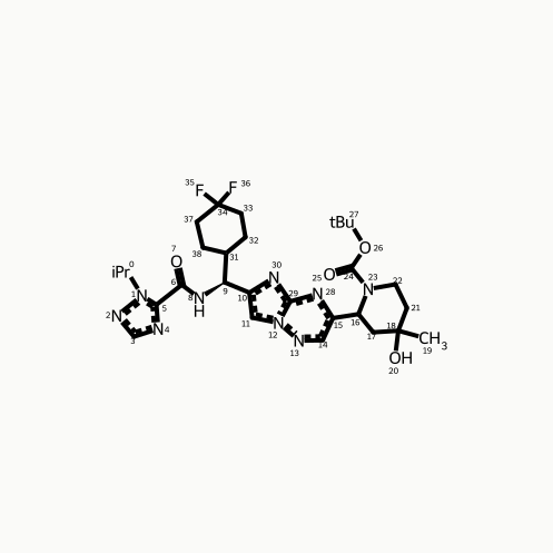 CC(C)n1ncnc1C(=O)N[C@H](c1cn2ncc(C3CC(C)(O)CCN3C(=O)OC(C)(C)C)nc2n1)C1CCC(F)(F)CC1